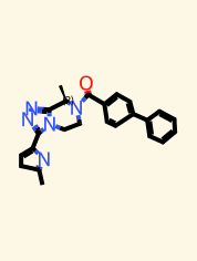 CC1=NC(c2nnc3n2CCN(C(=O)c2ccc(-c4ccccc4)cc2)[C@@H]3C)=CC1